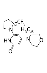 C[C@@H]1COCCN1c1cc(N2CCC[C@H]2C(F)(F)F)[nH]c(=O)c1